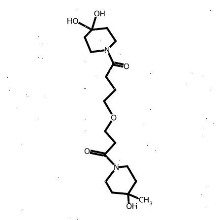 CC1(O)CCN(C(=O)CCOCCCC(=O)N2CCC(O)(O)CC2)CC1